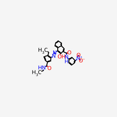 CCNC(=O)c1ccc(CC)c(/N=N/c2c(O)c(C(=O)Nc3cccc([N+](=O)[O-])c3)cc3ccccc23)c1